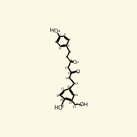 O=C(CCc1ccc(O)cc1)CC(=O)CCc1ccc(O)c(CO)c1